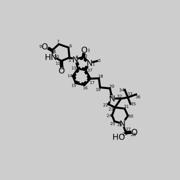 Cn1c(=O)n(C2CCC(=O)NC2=O)c2cccc(CCCN3CC4(CCN(C(=O)O)CC4)C3C(C)(C)C)c21